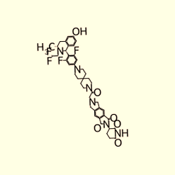 C[C@@H]1Cc2cc(O)ccc2[C@@H](c2c(F)cc(N3CCC4(CCN(C(=O)CN5Cc6cc7c(cc6C5)C(=O)N(C5CCC(=O)NC5=O)C7=O)CC4)CC3)cc2F)N1CC(F)F